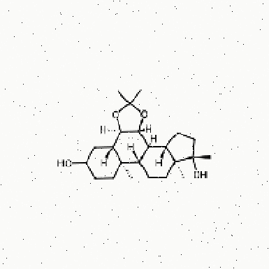 CC1(C)O[C@H]2[C@H](O1)[C@H]1CC(O)CC[C@]1(C)[C@H]1CC[C@@]3(C)[C@@H](CC[C@]3(C)O)[C@H]21